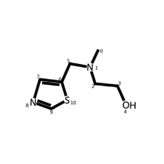 CN(CCO)Cc1cn[c]s1